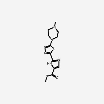 COC(=O)c1cnc(-c2nnc(N3CCN(C)CC3)s2)[nH]1